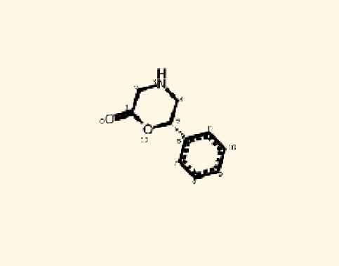 O=C1CNC[C@H](c2ccccc2)O1